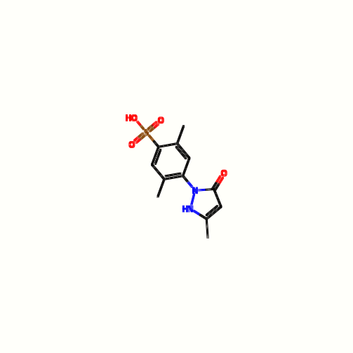 Cc1cc(=O)n(-c2cc(C)c(S(=O)(=O)O)cc2C)[nH]1